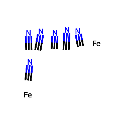 C#N.C#N.C#N.C#N.C#N.C#N.[Fe].[Fe]